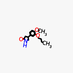 CCCCOc1cc(C2CNC(=O)C2)ccc1OC